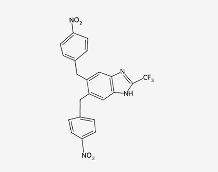 O=[N+]([O-])c1ccc(Cc2cc3nc(C(F)(F)F)[nH]c3cc2Cc2ccc([N+](=O)[O-])cc2)cc1